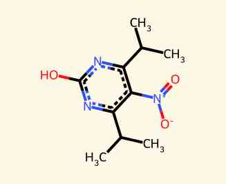 CC(C)c1nc(O)nc(C(C)C)c1[N+](=O)[O-]